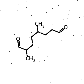 CC(C=O)CCC(C)CCC=O